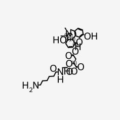 Cc1ccc(O)c2c1[C@]13CCN(C)[C@H](C)[C@]1(O)CC=C(OC(=O)C[C@H](OC(=O)CNC(=O)CCCCCN)C(=O)O)[C@@H]3O2